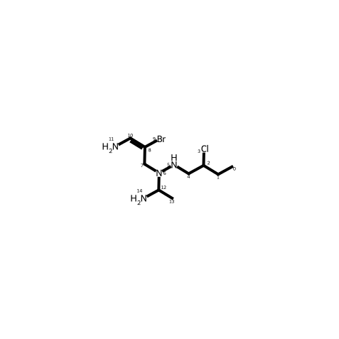 CCC(Cl)CNN(C/C(Br)=C\N)C(C)N